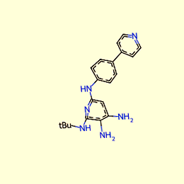 CC(C)(C)Nc1nc(Nc2ccc(-c3ccncc3)cc2)cc(N)c1N